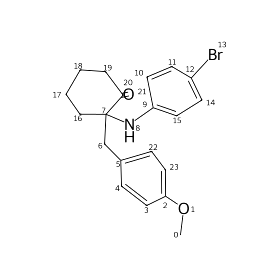 COc1ccc(CC2(Nc3ccc(Br)cc3)CCCCC2=O)cc1